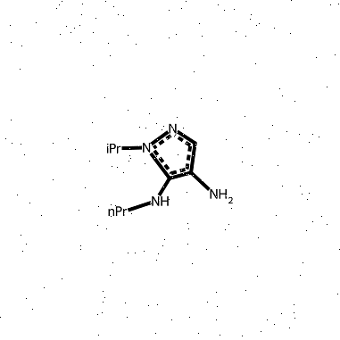 CCCNc1c(N)cnn1C(C)C